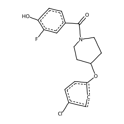 O=C(c1ccc(O)c(F)c1)N1CCC(Oc2ccc(Cl)cc2)CC1